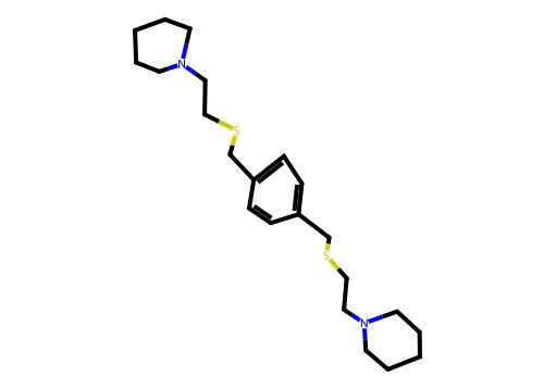 c1cc(CSCCN2CCCCC2)ccc1CSCCN1CCCCC1